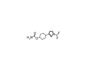 NC(=O)OC1CCC(c2ccn(C(F)F)n2)CC1